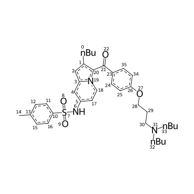 CCCCc1cc2cc(NS(=O)(=O)c3ccc(C)cc3)ccn2c1C(=O)c1ccc(OCCCN(CCCC)CCCC)cc1